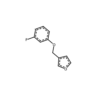 Fc1[c]ccc(OCc2ccoc2)c1